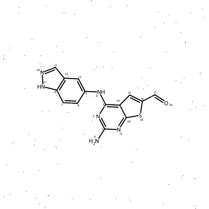 Nc1nc(Nc2ccc3[nH]ncc3c2)c2cc(C=O)sc2n1